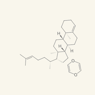 C1=COC=CO1.CC(C)=CCC[C@@H](C)[C@H]1CC[C@H]2[C@@H]3CCC4=CCCC[C@]4(C)[C@H]3CC[C@]12C